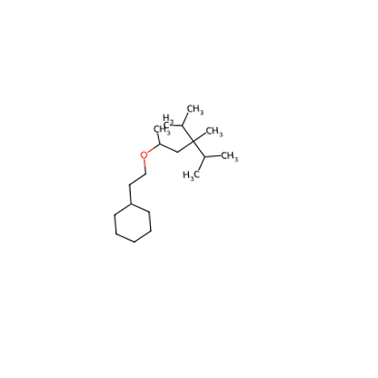 CC(CC(C)(C(C)C)C(C)C)OCCC1CCCCC1